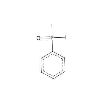 CP(=O)(I)c1ccccc1